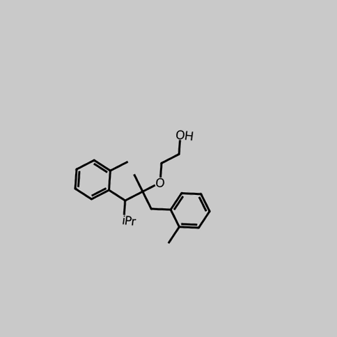 Cc1ccccc1CC(C)(OCCO)C(c1ccccc1C)C(C)C